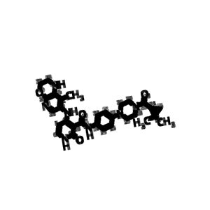 Cc1c(Nc2cc[nH]c(=O)c2C(=O)Nc2ccc(N3CCN(C(=O)C4CC4(C)C)CC3)cc2)cnc2c1NCCO2